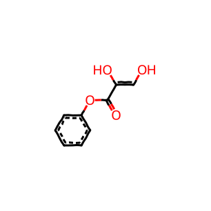 O=C(Oc1ccccc1)C(O)=CO